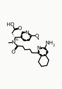 COc1ccc([C@@H](CC(=O)O)N(C)C(=O)CCCCc2nc(N)cc3c2CCCC3)cn1